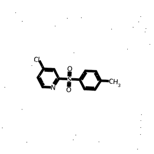 Cc1ccc(S(=O)(=O)c2cc(Cl)ccn2)cc1